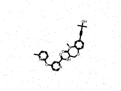 Cc1cccc(Oc2ccnc(C(=O)NC3COc4ccc(C#CC(C)(C)O)cc4N(C)C3=O)c2)n1